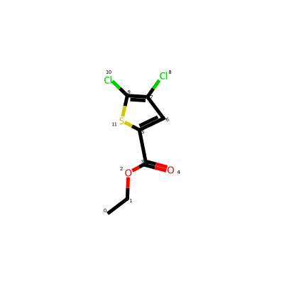 CCOC(=O)c1cc(Cl)c(Cl)s1